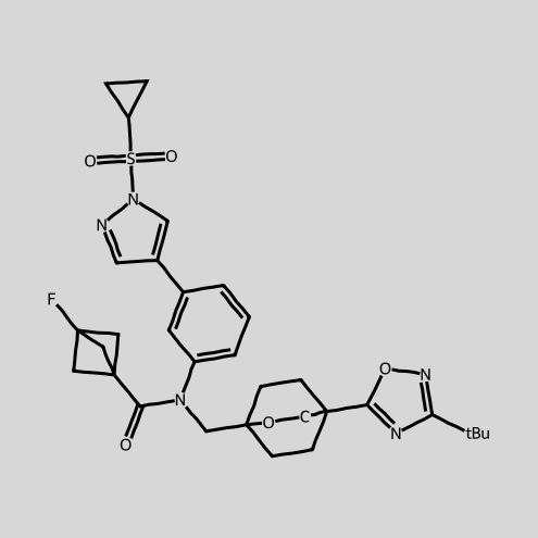 CC(C)(C)c1noc(C23CCC(CN(C(=O)C45CC(F)(C4)C5)c4cccc(-c5cnn(S(=O)(=O)C6CC6)c5)c4)(CC2)OC3)n1